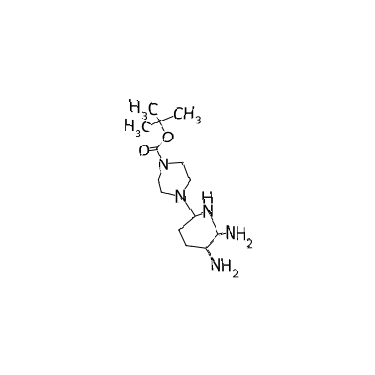 CC(C)(C)OC(=O)N1CCN(C2CCC(N)C(N)N2)CC1